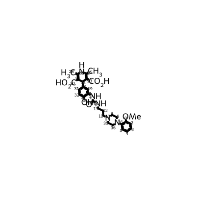 COc1ccccc1N1CCN(CCCNC(=O)Nc2cc(C3C(C(=O)O)=C(C)NC(C)=C3C(=O)O)ccc2O)CC1